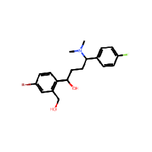 CN(C)C(CCC(O)c1ccc(Br)cc1CO)c1ccc(F)cc1